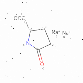 O=C1CC[C@@H](C(=O)[O-])[N-]1.[Na+].[Na+]